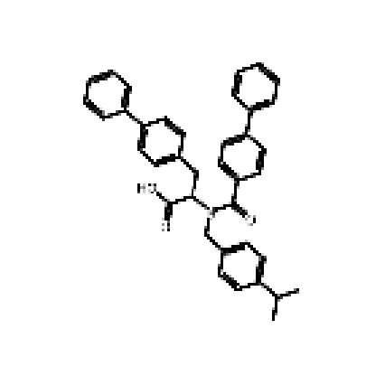 CC(C)c1ccc(CN(C(=O)c2ccc(-c3ccccc3)cc2)[C@H](Cc2ccc(-c3ccccc3)cc2)C(=O)O)cc1